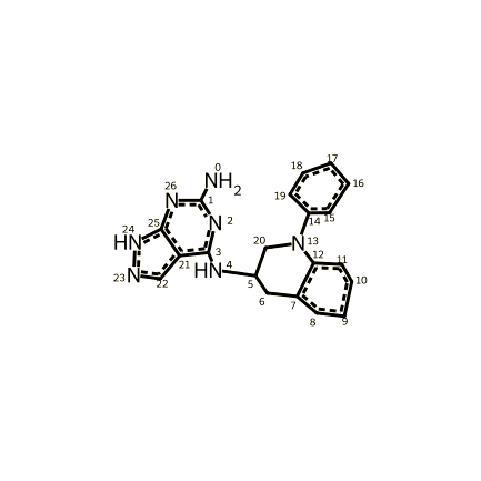 Nc1nc(NC2Cc3ccccc3N(c3ccccc3)C2)c2cn[nH]c2n1